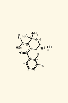 CCCCC1(N)NCCN(C(=O)c2cccc(C)c2C)C1C(S)CC.Cl.Cl